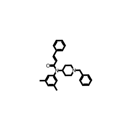 Cc1cc(C)cc(N(C(=O)C=Cc2ccccc2)C2CCN(Cc3ccccc3)CC2)c1